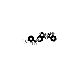 O=C(c1cccc(C(F)(F)F)c1Cl)N1CCc2c(ncnc2ON2NNc3ccccc32)C1